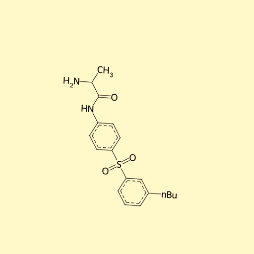 CCCCc1cccc(S(=O)(=O)c2ccc(NC(=O)C(C)N)cc2)c1